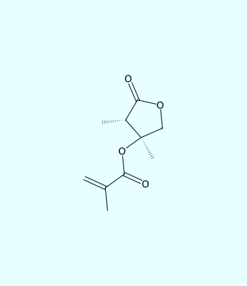 C=C(C)C(=O)O[C@]1(C)COC(=O)[C@H]1C